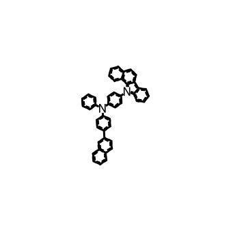 c1ccc(N(c2ccc(-c3ccc4ccccc4c3)cc2)c2ccc(-n3c4ccccc4c4ccc5ccccc5c43)cc2)cc1